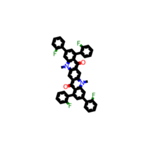 Cn1c2cc3c(=O)c4c(-c5ccccc5F)cc(-c5ccccc5F)cc4n(C)c3cc2c(=O)c2c(-c3ccccc3F)cc(-c3ccccc3F)cc21